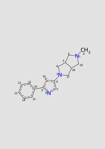 CN1CC2CN(c3cnc(-c4ccccc4)s3)CC2C1